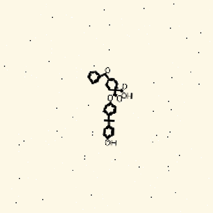 CC(C)(c1ccc(O)cc1)c1ccc(OC(=O)C2(C(=O)O)C=CC(C(=O)c3ccccc3)=CC2)cc1